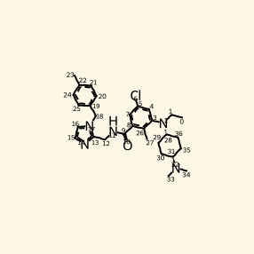 CCN(c1cc(Cl)cc(C(=O)NCc2nccn2Cc2ccc(C)cc2)c1C)[C@H]1CC[C@H](N(C)C)CC1